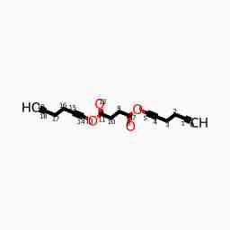 C#CCCC#COC(=O)CCC(=O)OC#CCCC#C